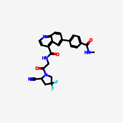 CNC(=O)c1ccc(-c2ccc3nccc(C(=O)NCC(=O)N4CC(F)(F)CC4C#N)c3c2)cc1